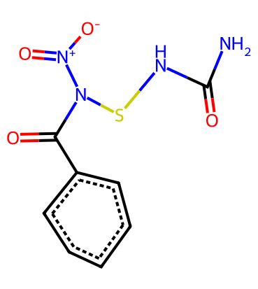 NC(=O)NSN(C(=O)c1ccccc1)[N+](=O)[O-]